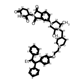 CCC(=C(c1ccccc1)c1ccc(OCCN2CCC(CN3C(C)CN(c4ccc5c(c4)C(=O)N(C4CCC(=O)NC4=O)C5=O)CC3C)CC2)cc1)c1ccccc1